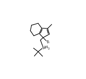 CC1=C[C]([Ti])(C[SiH2]C(C)(C)C)C2=C1CCCC2